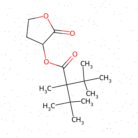 CC(C)(C)C(C)(C(=O)OC1CCOC1=O)C(C)(C)C